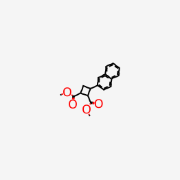 COC(=O)C1CC(c2ccc3ccccc3c2)C1C(=O)OC